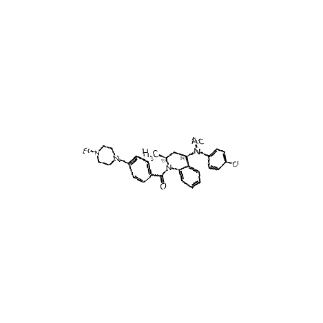 CCN1CCN(c2ccc(C(=O)N3c4ccccc4[C@H](N(C(C)=O)c4ccc(Cl)cc4)C[C@@H]3C)cc2)CC1